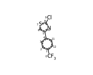 FC(F)(F)c1ccc(-c2csc(Cl)n2)cc1